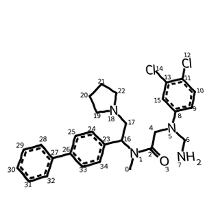 CN(C(=O)CN(CN)c1ccc(Cl)c(Cl)c1)C(CN1CCCC1)c1ccc(-c2ccccc2)cc1